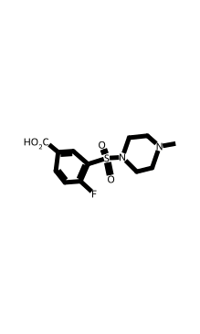 CN1CCN(S(=O)(=O)c2cc(C(=O)O)ccc2F)CC1